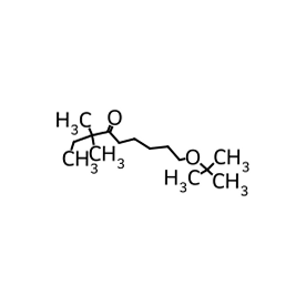 CCC(C)(C)C(=O)CCCCCOC(C)(C)C